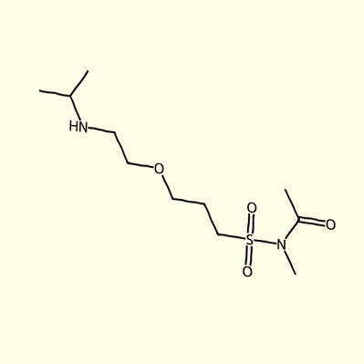 CC(=O)N(C)S(=O)(=O)CCCOCCNC(C)C